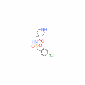 CC1(C(=O)NS(=O)(=O)Cc2ccc(Cl)cc2)CCNCC1